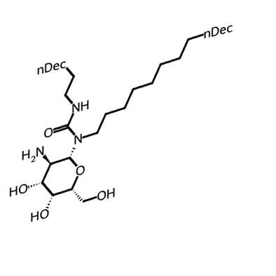 CCCCCCCCCCCCCCCCCCN(C(=O)NCCCCCCCCCCCC)[C@@H]1O[C@H](CO)[C@H](O)[C@H](O)[C@H]1N